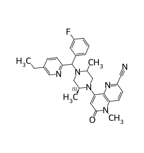 CCc1ccc(C(c2cccc(F)c2)N2C[C@H](C)N(c3cc(=O)n(C)c4ccc(C#N)nc34)CC2C)nc1